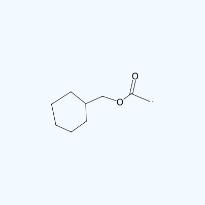 [CH2]C(=O)OCC1CCCCC1